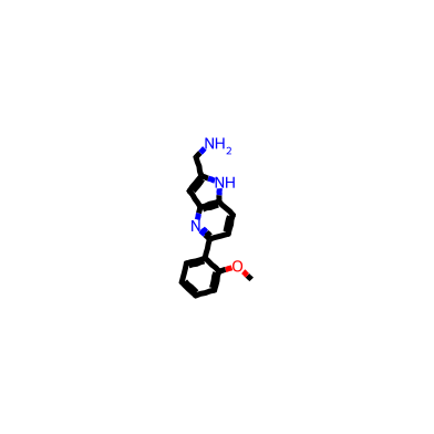 COc1ccccc1-c1ccc2[nH]c(CN)cc2n1